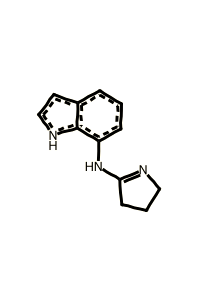 c1cc(NC2=NCCC2)c2[nH]ccc2c1